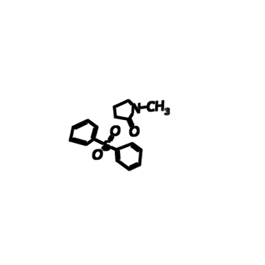 CN1CCCC1=O.O=S(=O)(c1ccccc1)c1ccccc1